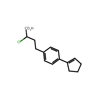 O=C(O)C(Cl)CCc1ccc(C2=CCCC2)cc1